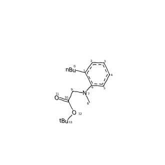 CCCCc1ccccc1N(C)CC(=O)OC(C)(C)C